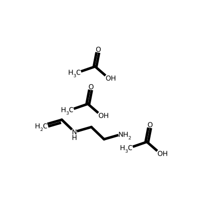 C=CNCCN.CC(=O)O.CC(=O)O.CC(=O)O